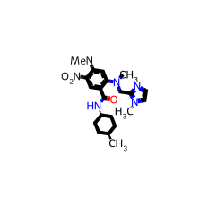 CNc1cc(N(C)Cc2nccn2C)c(C(=O)N[C@H]2CC[C@H](C)CC2)cc1[N+](=O)[O-]